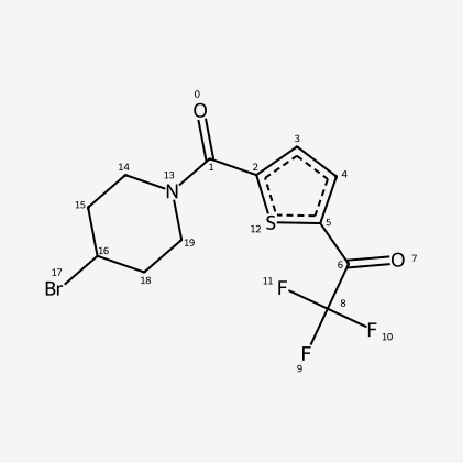 O=C(c1ccc(C(=O)C(F)(F)F)s1)N1CCC(Br)CC1